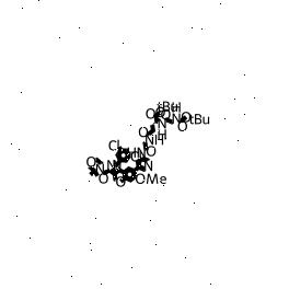 COc1cc2c(cc1-c1cncc(NC(=O)CNC(=O)CC[C@@H](NC(=O)CNC(=O)OC(C)(C)C)C(=O)OC(C)(C)C)c1)-c1c(c(C(=O)N3CCOCC3(C)C)nn1-c1cc(Cl)cc(Cl)c1)CO2